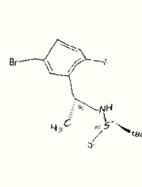 C[C@@H](N[S@+]([O-])C(C)(C)C)c1cc(Br)ccc1F